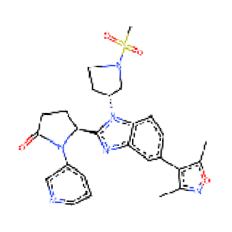 Cc1noc(C)c1-c1ccc2c(c1)nc([C@@H]1CCC(=O)N1c1cccnc1)n2[C@@H]1CCN(S(C)(=O)=O)C1